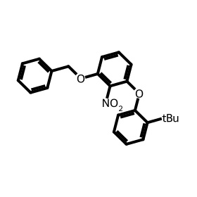 CC(C)(C)c1ccccc1Oc1cccc(OCc2ccccc2)c1[N+](=O)[O-]